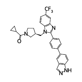 O=C(C1CC1)N1CC[C@@H](Cn2c(-c3ccc(-c4ccc5[nH]ncc5c4)cc3)nc3cc(C(F)(F)F)ccc32)C1